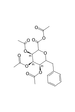 CC(=O)OC(=O)C1OC(Cc2ccccc2)[C@@H](OC(C)=O)[C@@H](OC(C)=O)[C@H]1OC(C)=O